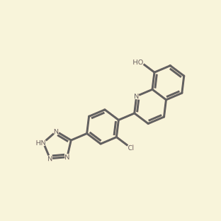 Oc1cccc2ccc(-c3ccc(-c4nn[nH]n4)cc3Cl)nc12